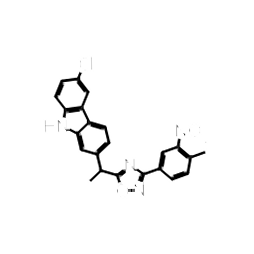 Cc1ccc(-c2noc(C(C)c3ccc4c(c3)[nH]c3ccc(Cl)cc34)n2)cc1[N+](=O)[O-]